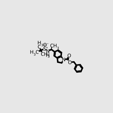 C[C@H](N[S@@+]([O-])C(C)(C)C)c1ccc2c(c1)CCN2C(=O)OCc1ccccc1